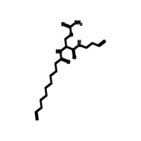 C=CCCCCCCCCC(=O)NC(COC(N)=O)C(=O)NCCC=C